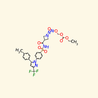 CCOC(=O)OCOn1on1N1CC(C(=O)NS(=O)(=O)c2ccc(-n3nc(C(F)(F)F)cc3-c3ccc(C)cc3)cc2)C1